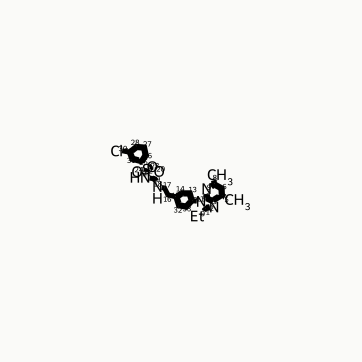 CCc1nc2c(C)cc(C)nc2n1-c1ccc(CCNC(=O)NS(=O)(=O)c2cccc(Cl)c2)cc1